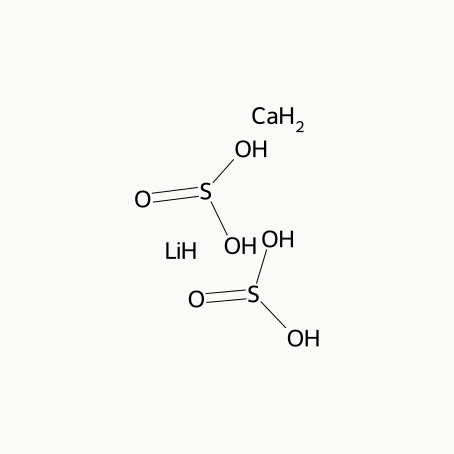 O=S(O)O.O=S(O)O.[CaH2].[LiH]